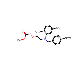 COc1ccc(CN(CCOCC(=O)OC(C)(C)C)c2cc(C(F)(F)F)ccc2C=O)cc1